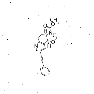 COC(=O)N1CCO[C@@H]2c3cc(C#Cc4ccccc4)cnc3CC[C@@H]21